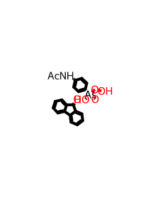 CC(=O)Nc1ccc([As](=O)(O)OO)cc1.O=C1c2ccccc2-c2ccccc21